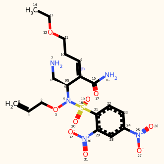 C=CCON([C@@H](CN)/C(=C\CCOCC)C(N)=O)S(=O)(=O)c1ccc([N+](=O)[O-])cc1[N+](=O)[O-]